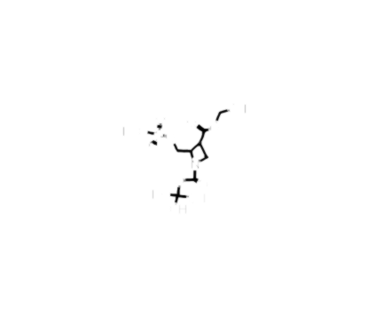 CCOC(=O)C1CN(C(=O)OC(C)(C)C)C1COS(C)(=O)=O